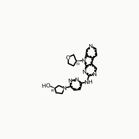 O[C@@H]1CCN(c2ccc(Nc3ncc4c5ccncc5n([C@H]5CCOC5)c4n3)nn2)C1